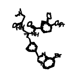 CC(C)Oc1ccc(C(=O)N[C@H](CNC(=O)CN(C)C)Cc2ccc(-c3cn4cccc(Br)c4n3)cc2)cc1Cl